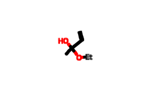 C=CC(C)(O)OCC